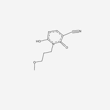 COCCCn1c(O)ccc(C#N)c1=O